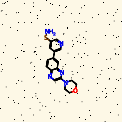 NSc1cncc(-c2ccc3ncc(N4CCOCC4)nc3c2)c1